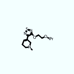 CC(C)OCCOc1nsnc1C1=CCCN(C)C1